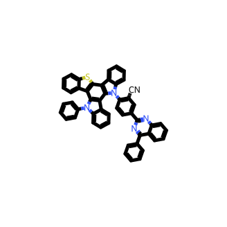 N#Cc1cc(-c2nc(-c3ccccc3)c3ccccc3n2)ccc1-n1c2ccccc2c2c3sc4ccccc4c3c3c(c4ccccc4n3-c3ccccc3)c21